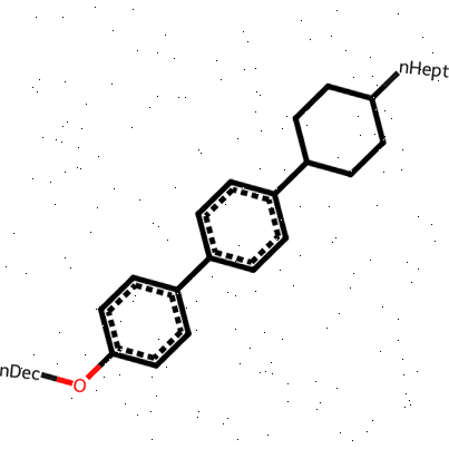 CCCCCCCCCCOc1ccc(-c2ccc(C3CCC(CCCCCCC)CC3)cc2)cc1